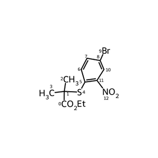 CCOC(=O)C(C)(C)Sc1ccc(Br)cc1[N+](=O)[O-]